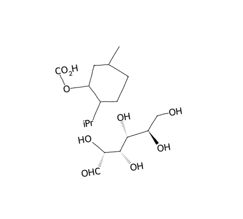 CC1CCC(C(C)C)C(OC(=O)O)C1.O=C[C@H](O)[C@@H](O)[C@H](O)[C@H](O)CO